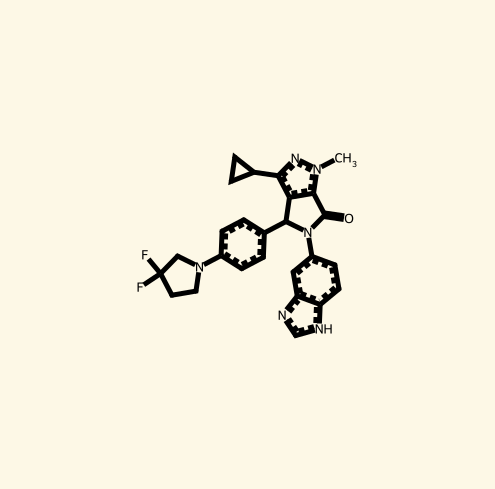 Cn1nc(C2CC2)c2c1C(=O)N(c1ccc3[nH]cnc3c1)C2c1ccc(N2CCC(F)(F)C2)cc1